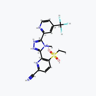 CCS(=O)(=O)c1ccc(C#N)nc1-c1nnc(-c2cc(C(F)(F)F)ccn2)n1C